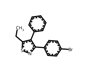 CCc1snc(-c2ccc(Br)cc2)c1-c1ccccc1